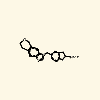 CNC1Cc2ccc(Cn3cnc4cc5c(cc43)COCC5)cc2C1